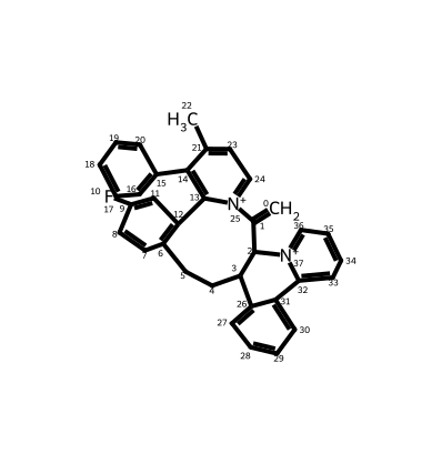 C=C1C2C(CCc3ccc(F)cc3-c3c(-c4ccccc4)c(C)cc[n+]31)c1ccccc1-c1cccc[n+]12